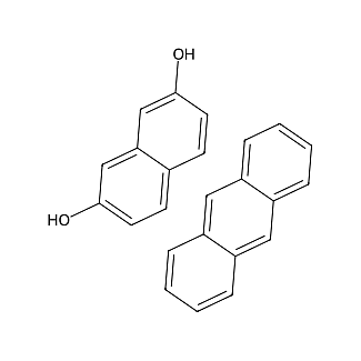 Oc1ccc2ccc(O)cc2c1.c1ccc2cc3ccccc3cc2c1